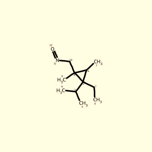 CCC1(C(C)C)C(C)C1(C)CN=O